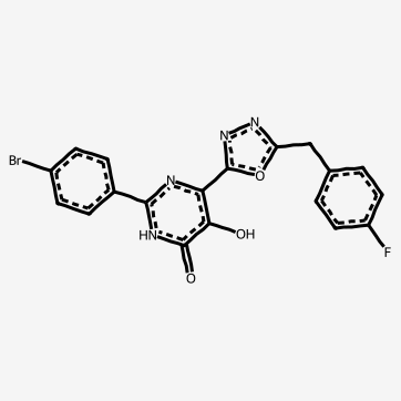 O=c1[nH]c(-c2ccc(Br)cc2)nc(-c2nnc(Cc3ccc(F)cc3)o2)c1O